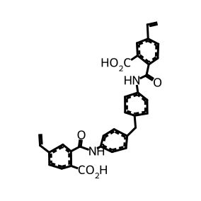 C=Cc1ccc(C(=O)Nc2ccc(Cc3ccc(NC(=O)c4cc(C=C)ccc4C(=O)O)cc3)cc2)c(C(=O)O)c1